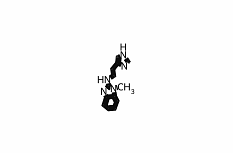 Cn1c(NCCc2c[nH]cn2)nc2ccccc21